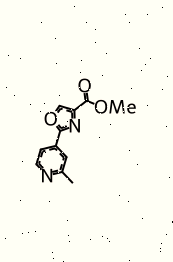 COC(=O)c1coc(-c2ccnc(C)c2)n1